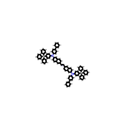 C(=C\c1ccc2cc(N(c3ccc(-c4ccccc4)cc3)c3ccc([Si](c4ccccc4)(c4ccccc4)c4ccccc4)cc3)ccc2c1)/c1ccc2cc(N(c3ccc(-c4ccccc4)cc3)c3ccc([Si](c4ccccc4)(c4ccccc4)c4ccccc4)cc3)ccc2c1